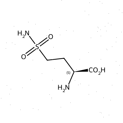 N[C@@H](CCS(N)(=O)=O)C(=O)O